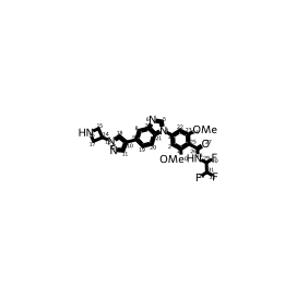 COc1cc(-n2cnc3cc(-c4cnn(C5CNC5)c4)ccc32)cc(OC)c1C(=O)NC(F)C(F)F